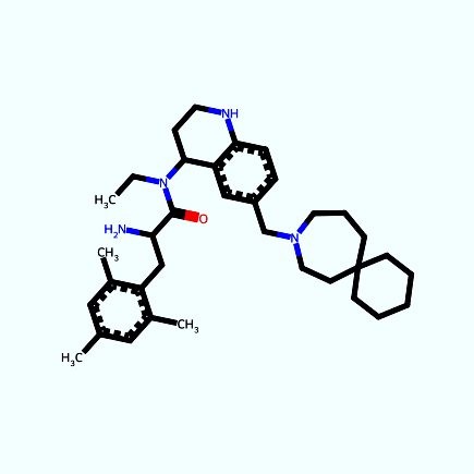 CCN(C(=O)C(N)Cc1c(C)cc(C)cc1C)C1CCNc2ccc(CN3CCCC4(CCCCC4)CC3)cc21